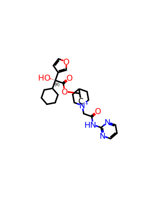 O=C(C[N+]12CCC(CC1)C(OC(=O)[C@](O)(c1ccoc1)C1CCCCC1)C2)Nc1ncccn1